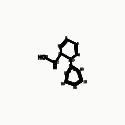 ONC1C=CC=CN1c1ccccc1